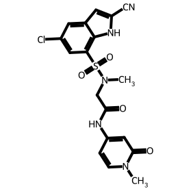 CN(CC(=O)Nc1ccn(C)c(=O)c1)S(=O)(=O)c1cc(Cl)cc2cc(C#N)[nH]c12